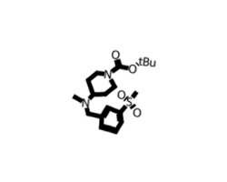 CN(Cc1cccc(S(C)(=O)=O)c1)C1CCN(C(=O)OC(C)(C)C)CC1